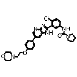 O=C(Nc1ccc(Cl)c(-c2nc3ncc(-c4ccc(OCCN5CCOCC5)cc4)cc3[nH]2)c1)N1CCCC1